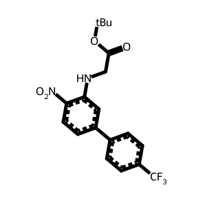 CC(C)(C)OC(=O)CNc1cc(-c2ccc(C(F)(F)F)cc2)ccc1[N+](=O)[O-]